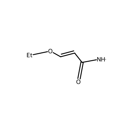 CCOC=CC([NH])=O